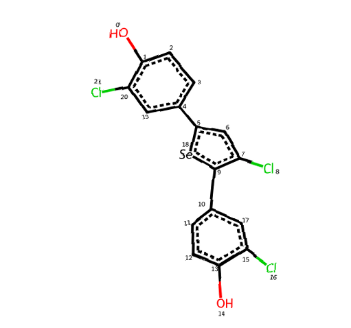 Oc1ccc(-c2cc(Cl)c(-c3ccc(O)c(Cl)c3)[se]2)cc1Cl